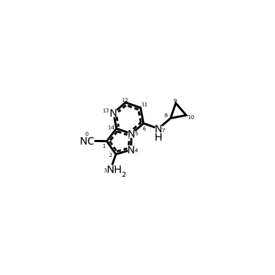 N#Cc1c(N)nn2c(NC3CC3)ccnc12